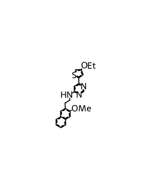 CCOc1csc(-c2cc(NCCc3cc4ccccc4cc3OC)ncn2)c1